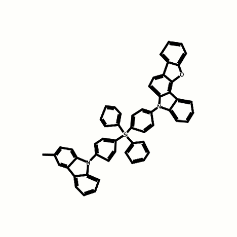 Cc1ccc2c(c1)c1ccccc1n2-c1ccc([Si](c2ccccc2)(c2ccccc2)c2ccc(-n3c4ccccc4c4c5oc6ccccc6c5ccc43)cc2)cc1